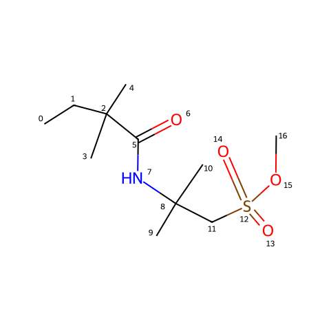 CCC(C)(C)C(=O)NC(C)(C)CS(=O)(=O)OC